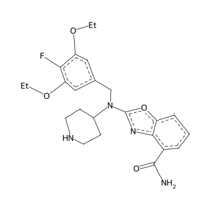 CCOc1cc(CN(c2nc3c(C(N)=O)cc[c]c3o2)C2CCNCC2)cc(OCC)c1F